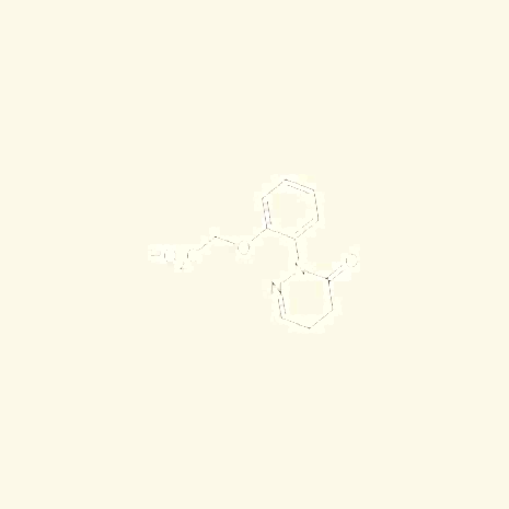 O=C(O)COc1ccccc1N1N=CCCC1=O